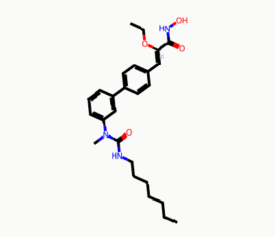 CCCCCCCNC(=O)N(C)c1cccc(-c2ccc(/C=C(\OCC)C(=O)NO)cc2)c1